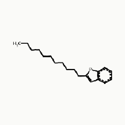 CCCCCCCCCCCC1=Cc2ccccc2[P]1